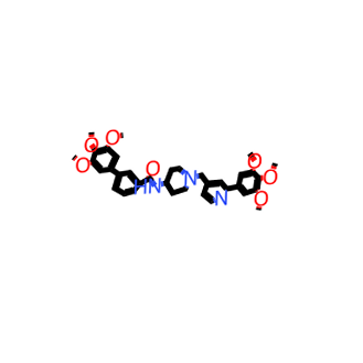 COc1cc(-c2cccc(C(=O)NC3CCN(Cc4ccnc(-c5cc(OC)c(OC)c(OC)c5)c4)CC3)c2)cc(OC)c1OC